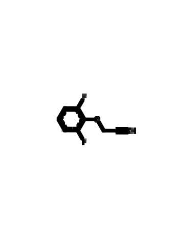 C#CCOc1c(F)[c]ccc1F